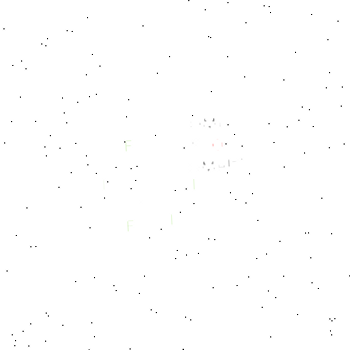 CO[Si](Cc1c(F)c(F)c(F)c(F)c1F)(OC)OC(C)C